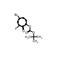 CC(C)(C)OC(=O)Oc1ccc(Br)cc(F)c1=O